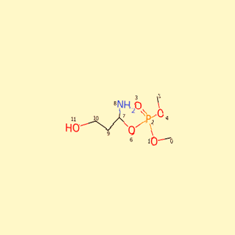 COP(=O)(OC)OC(N)CCO